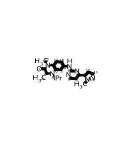 CC(C)N1c2cc(Nc3nccc(-c4ccnn4C)n3)ccc2N(C)C(=O)C1C